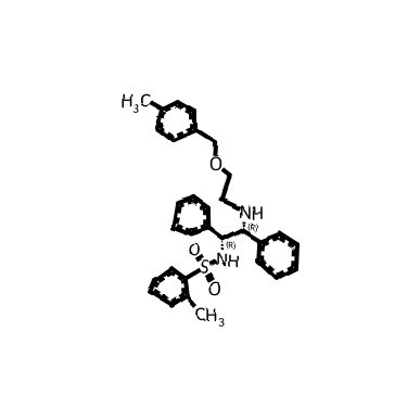 Cc1ccc(COCCN[C@H](c2ccccc2)[C@H](NS(=O)(=O)c2ccccc2C)c2ccccc2)cc1